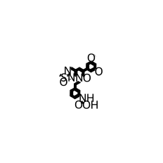 COc1cc(OC)cc(-c2cc3cnc([S+](C)[O-])nc3n(CCc3cccc(NC(=O)O)c3)c2=O)c1